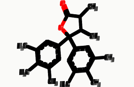 Cc1cc(C2(c3cc(C)c(C)c(C)c3)OC(=O)C(C)C2C)cc(C)c1C